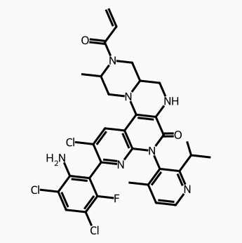 C=CC(=O)N1CC2CNc3c(c4cc(Cl)c(-c5c(N)c(Cl)cc(Cl)c5F)nc4n(-c4c(C)ccnc4C(C)C)c3=O)N2CC1C